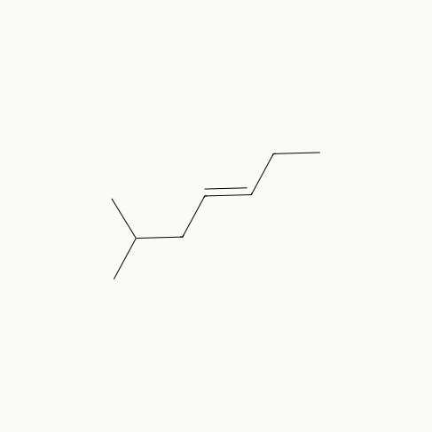 CC/C=C/CC(C)C